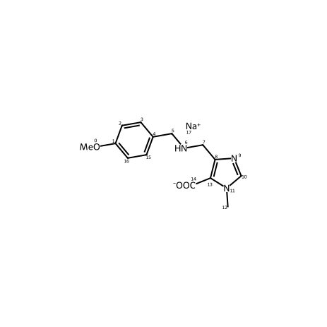 COc1ccc(CNCc2ncn(C)c2C(=O)[O-])cc1.[Na+]